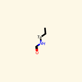 C[CH2][Ta][NH]C=O